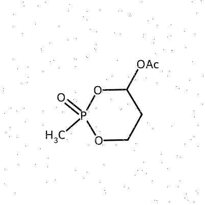 CC(=O)OC1CCOP(C)(=O)O1